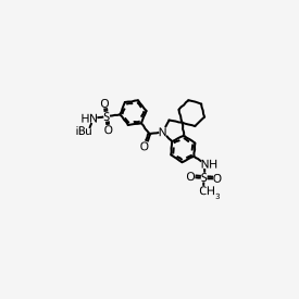 CCC(C)NS(=O)(=O)c1cccc(C(=O)N2CC3(CCCCC3)c3cc(NS(C)(=O)=O)ccc32)c1